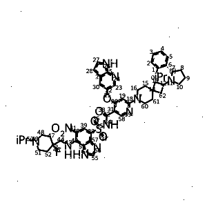 CC(C)c1ccccc1[C@@H]1CCCN1C1CC2(CCN(c3cc(Oc4cnc5[nH]ccc5c4)c(C(=O)NS(=O)(=O)c4cc([N+](=O)[O-])c(NCC5(F)CCN(C(C)C)CC5)c5[nH]cnc45)cn3)CC2)C1